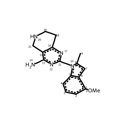 COc1cccc2c1cc(C)n2-c1nc(N)c2c(n1)CCNC2